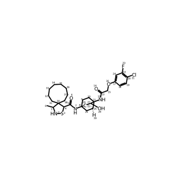 CC1NSC(C(=O)NC23CCC(NC(=O)COc4ccc(Cl)c(F)c4)(CC2)[C@@H](O)C3)C12CCCCCCCC2